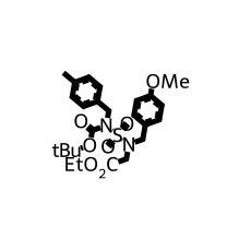 CCOC(=O)CN(Cc1ccc(OC)cc1)S(=O)(=O)N(Cc1ccc(C)cc1)C(=O)OC(C)(C)C